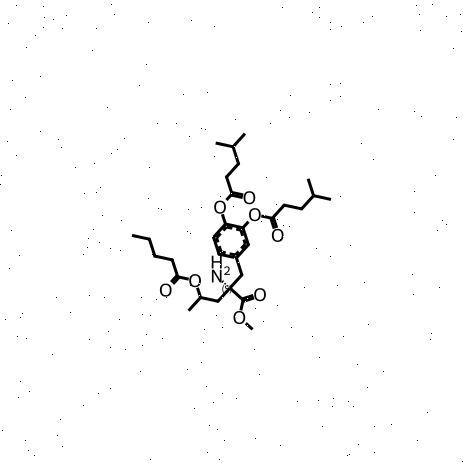 CCCCC(=O)OC(C)C[C@@](N)(Cc1ccc(OC(=O)CCC(C)C)c(OC(=O)CCC(C)C)c1)C(=O)OC